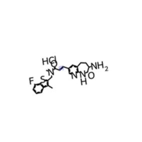 Cc1c(CN(C)C(=O)/C=C/c2cnc3c(c2)CCC(N)C(=O)N3)sc2c(F)cccc12.Cl